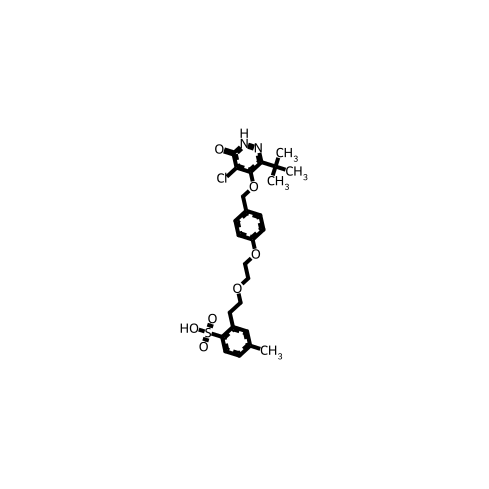 Cc1ccc(S(=O)(=O)O)c(CCOCCOc2ccc(COc3c(C(C)(C)C)n[nH]c(=O)c3Cl)cc2)c1